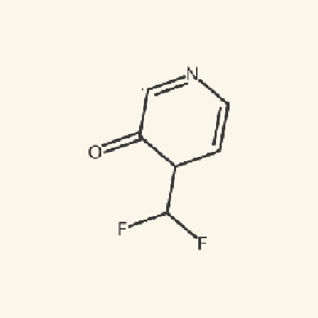 O=C1[C]=NC=CC1C(F)F